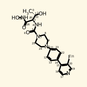 C[C@H](O)[C@@H](NC(=O)N1CCN(c2ccc(-c3ccncc3F)cc2)CC1)C(=O)NO